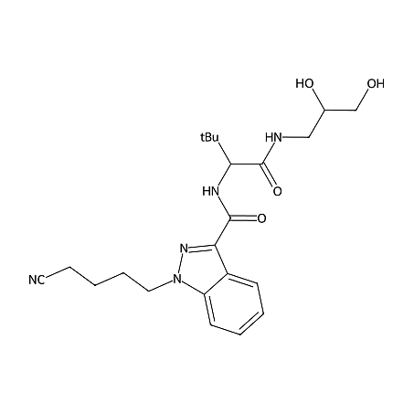 CC(C)(C)C(NC(=O)c1nn(CCCCC#N)c2ccccc12)C(=O)NCC(O)CO